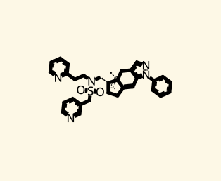 C[C@]12Cc3cnn(-c4ccccc4)c3C=C1CC[C@@H]2CN(CCc1ccccn1)S(=O)(=O)Cc1cccnc1